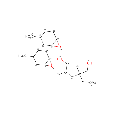 COCC(C)(CO)CC(C)CO.O=C(O)C1CCC2OC2C1.O=C(O)C1CCC2OC2C1